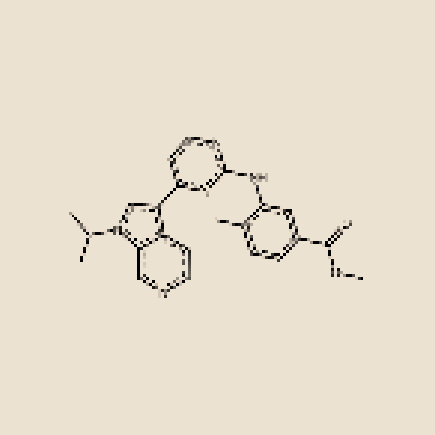 COC(=O)c1ccc(C)c(Nc2nccc(-c3cn(C(C)C)c4cnccc34)n2)c1